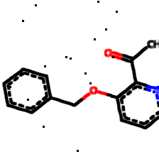 CC(=O)c1ncccc1OCc1ccccc1